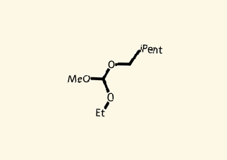 [CH2]CCC(C)COC(OC)OCC